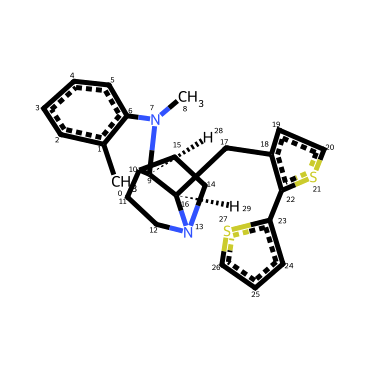 Cc1ccccc1N(C)[C@@H]1C2CCN(CC2)[C@@H]1Cc1ccsc1-c1cccs1